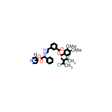 C=C(Cl)/C(C[C@H](OC(=O)c1cccc(CCNC(C(=O)O[C@H]2CN3CCC2CC3)c2ccccc2)c1)c1ccc(OC)c(OC)c1)=C(\C)Cl